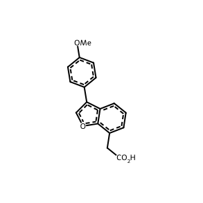 COc1ccc(-c2coc3c(CC(=O)O)cccc23)cc1